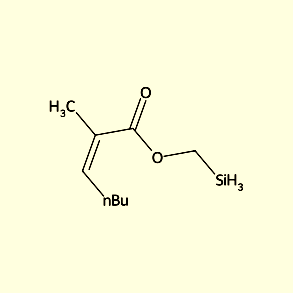 CCCCC=C(C)C(=O)OC[SiH3]